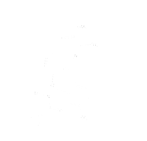 CCN(Cc1cc(C(F)(F)F)ccc1-c1cn(C(C)C(=O)OC)c2cccc(Cl)c12)C(=O)C1CC1